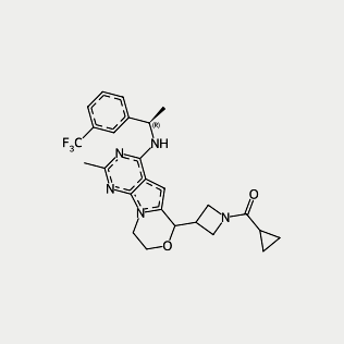 Cc1nc(N[C@H](C)c2cccc(C(F)(F)F)c2)c2cc3n(c2n1)CCOC3C1CN(C(=O)C2CC2)C1